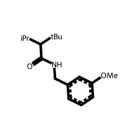 COc1cccc(CNC(=O)C(C(C)C)C(C)(C)C)c1